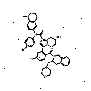 CN1CCOc2cc(N(C(=O)c3cc(-c4cc(Cl)ccc4C(=O)N4Cc5ccccc5C[C@H]4CN4CCOCC4)n4c3CCCC4)c3ccc(O)cc3)ccc21.Cl